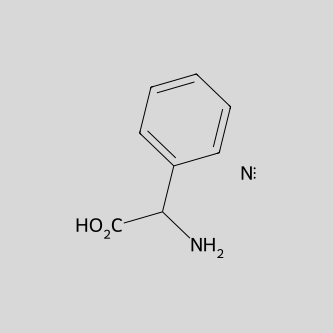 NC(C(=O)O)c1ccccc1.[N]